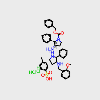 COc1ccccc1CNC1CCNC1c1ccccc1.Cc1ccc(S(=O)(=O)O)cc1.Cl.Cl.N[C@@H]1CCN(C(=O)OCc2ccccc2)[C@@H]1c1ccccc1